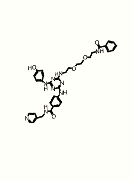 O=C(NCCOCCOCCNc1nc(Nc2ccc(O)cc2)nc(Nc2ccc(C(=O)NCc3ccncc3)cc2)n1)c1ccccc1